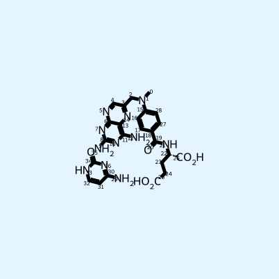 CN(Cc1cnc2nc(N)nc(N)c2n1)c1ccc(C(=O)N[C@@H](CCC(=O)O)C(=O)O)cc1.Nc1cc[nH]c(=O)n1